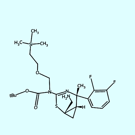 CC(C)(C)OC(=O)N(COCC[Si](C)(C)C)C1=N[C@](C)(c2cccc(F)c2F)[C@@H]2C[C@]2(CN)S1